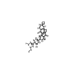 CCCCN(CCC)C1CCN(c2cnc3c(C)nn(C(C)c4ccc(Cl)cc4Cl)c3n2)C[C@@H]1C